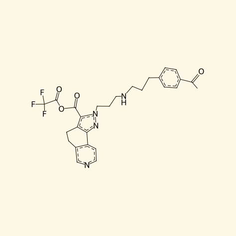 CC(=O)c1ccc(CCCNCCCn2nc3c(c2C(=O)OC(=O)C(F)(F)F)CCc2cnccc2-3)cc1